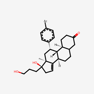 CC(=O)c1ccc([C@H]2C[C@@]3(C)C(=CC[C@]3(O)CCCO)[C@@H]3CCC4CC(=O)CC[C@@H]4[C@@H]23)cc1